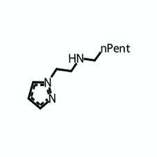 CCCCCCNCCn1cccn1